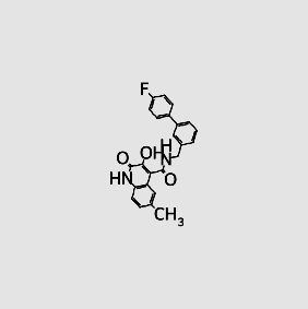 Cc1ccc2[nH]c(=O)c(O)c(C(=O)NCc3cccc(-c4ccc(F)cc4)c3)c2c1